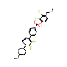 CCCc1ccc(OC(=O)c2ccc(-c3ccc(C4CCC(CC)CC4)c(F)c3F)cc2)c(F)c1F